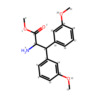 COC(=O)C(N)C(c1cccc(OC)c1)c1cccc(OC)c1